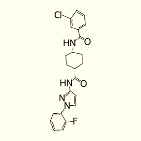 O=C(N[C@H]1CC[C@@H](C(=O)Nc2ccn(-c3ccccc3F)n2)CC1)c1cccc(Cl)c1